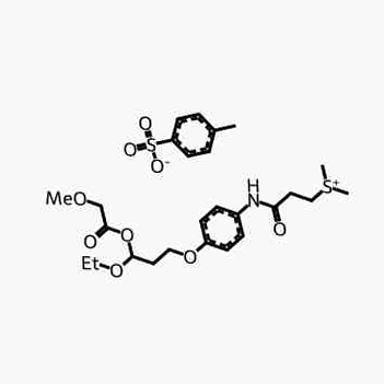 CCOC(CCOc1ccc(NC(=O)CC[S+](C)C)cc1)OC(=O)COC.Cc1ccc(S(=O)(=O)[O-])cc1